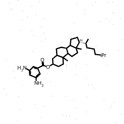 CC(C)CCCC(C)[C@H]1CCC2C3CCC4CC(OC(=O)c5cc(N)cc(N)c5)CCC4(C)C3CCC21C